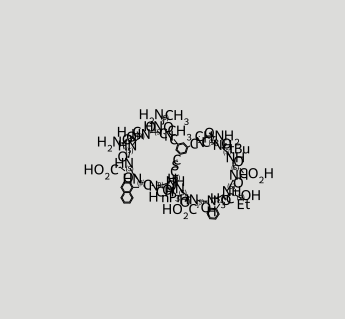 CCC[C@@H]1NC(=O)[C@H]2CSCc3cc(cc(c3)CN(C)C[C@H](NC(=O)[C@H](C)N)C(=O)N[C@H](C)C(=O)N[C@@H](CC(N)=O)C(=O)N[C@@H](CCC(=O)O)C(=O)N[C@@H](Cc3cccc4ccccc34)CN[C@H](C)C(=O)N2)CN(C)C[C@@H](C(N)=O)NC(=O)[C@H](C(C)(C)C)NC(=O)[C@H](CC(=O)O)NC(=O)[C@H](CC(C)[C@@H](O)CC)NC(=O)[C@H](Cc2ccccc2)NC(=O)[C@H](CC(=O)O)NC1=O